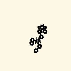 c1ccc(-c2cccc(-c3nc(-c4cccc(-c5cccc6c5-c5ccccc5C65c6ccccc6Oc6ccccc65)c4)nc(-c4cccc5ccccc45)n3)c2)cc1